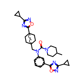 CC1CCN(C(=O)N(CC23CCC(c4nc(C5CC5)no4)(CC2)CC3)c2cccc(-c3nc(C4CC4)no3)c2)CC1